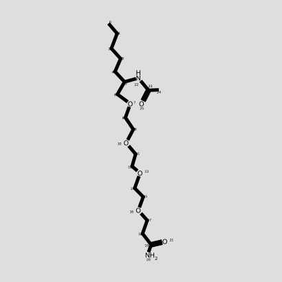 CCCCCC(COCCOCCOCCOCCC(N)=O)NC(C)=O